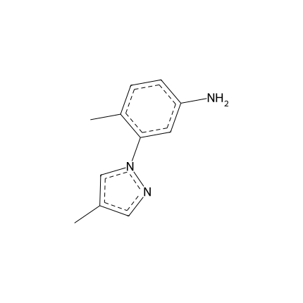 Cc1cnn(-c2cc(N)ccc2C)c1